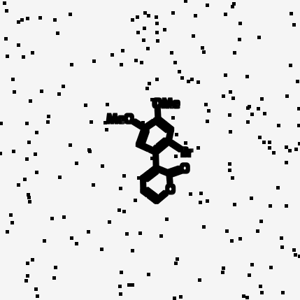 COc1cc(Br)c(-c2cccoc2=O)cc1OC